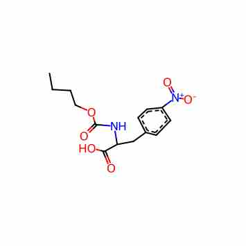 CCCCOC(=O)NC(Cc1ccc([N+](=O)[O-])cc1)C(=O)O